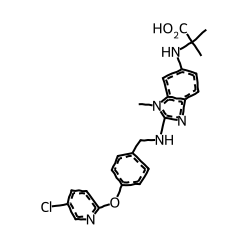 Cn1c(NCc2ccc(Oc3ccc(Cl)cn3)cc2)nc2ccc(NC(C)(C)C(=O)O)cc21